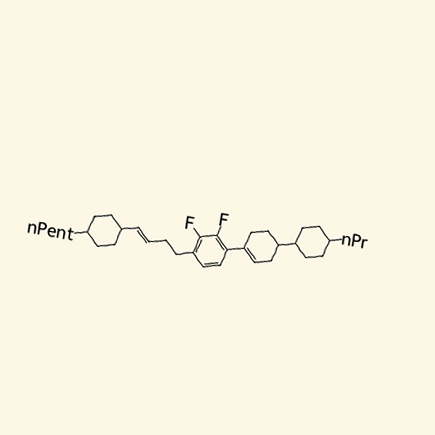 CCCCCC1CCC(/C=C/CCc2ccc(C3=CCC(C4CCC(CCC)CC4)CC3)c(F)c2F)CC1